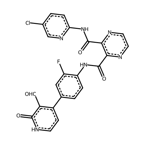 O=Cc1c(-c2ccc(NC(=O)c3nccnc3C(=O)Nc3ccc(Cl)cn3)c(F)c2)cc[nH]c1=O